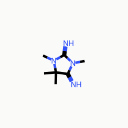 CN1C(=N)N(C)C(C)(C)C1=N